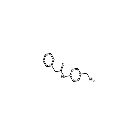 NCc1ccc(NC(=O)Cc2ccccc2)cc1